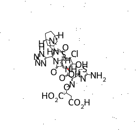 C[N+]1(CC2=C(c3nnn[nH]3)N3C(=O)[C@@H](NC(=O)/C(=N\O[C@@H](CC(=O)O)C(=O)O)c4csc(N)n4)[C@H]3SC2)[C@@H]2CC[C@H]1C[C@@H](NC(=O)c1ccc(O)c(O)c1Cl)C2